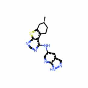 C[C@H]1CCc2c(sc3ncnc(Nc4cnc5[nH]ncc5c4)c23)C1